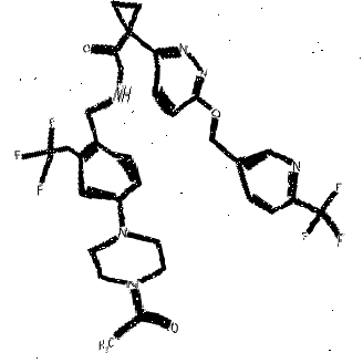 CC(=O)N1CCN(c2ccc(CNC(=O)C3(c4ccc(OCc5ccc(C(F)(F)F)nc5)nn4)CC3)c(C(F)(F)F)c2)CC1